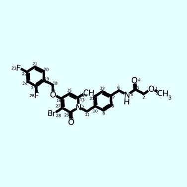 COCC(=O)NCc1ccc(Cn2c(C)cc(OCc3ccc(F)cc3F)c(Br)c2=O)cc1